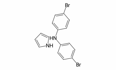 Brc1ccc(Nc2ccc(Br)cc2)cc1.c1cc[nH]c1